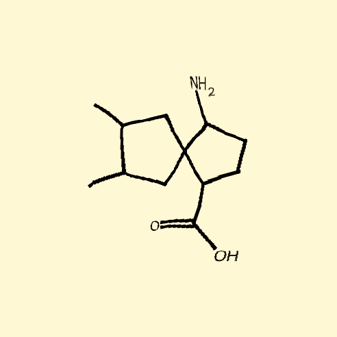 CC1CC2(CC1C)C(N)CCC2C(=O)O